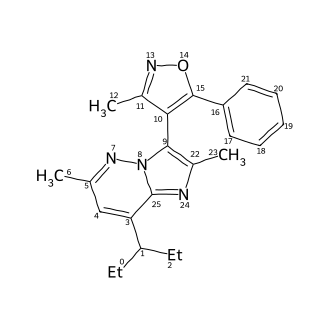 CCC(CC)c1cc(C)nn2c(-c3c(C)noc3-c3ccccc3)c(C)nc12